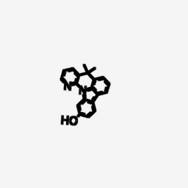 CC1(C)c2cccnc2-n2c3cc(O)ccc3c3cccc1c32